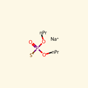 CCCOP(=O)([S-])OCCC.[Na+]